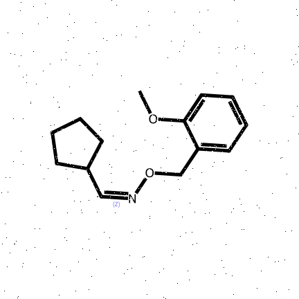 COc1ccccc1CO/N=[C]\C1CCCC1